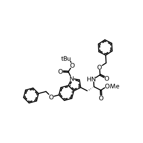 COC(=O)[C@H](Cc1cn(C(=O)OC(C)(C)C)c2cc(OCc3ccccc3)ccc12)NC(=O)OCc1ccccc1